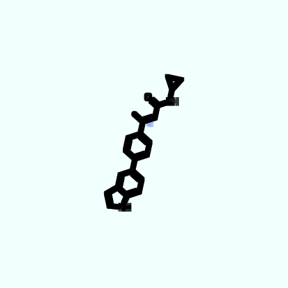 C/C(=C\C(=O)NC1CC1)c1ccc(-c2ccc3[nH]ccc3c2)cc1